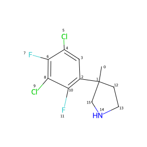 CC1(c2cc(Cl)c(F)c(Cl)c2F)CCNC1